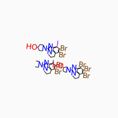 CCN(CC)c1nc2c(C)c(Br)c(Br)c3c2n1CCC3.OC1CCN(c2nc3c(I)c(Br)c(Br)c4c3n2CCC4)CC1.O[C@H]1CCN(c2nc3c(Br)c(Br)c(Br)c4c3n2CCC4)C1